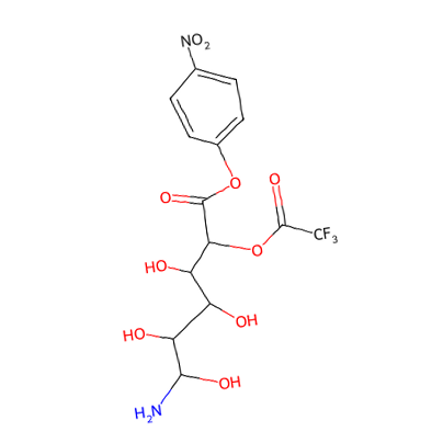 NC(O)C(O)C(O)C(O)C(OC(=O)C(F)(F)F)C(=O)Oc1ccc([N+](=O)[O-])cc1